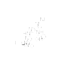 Cn1[nH]c(=O)c2ccc(Nc3cc(N[C@H](CO)c4ccccc4)c(C4=NC5(CCNC5)CO4)cn3)nc21